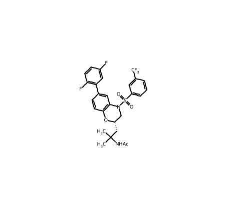 CC(=O)NC(C)(C)C[C@H]1CN(S(=O)(=O)c2cccc(C(F)(F)F)c2)c2cc(-c3cc(F)ccc3F)ccc2O1